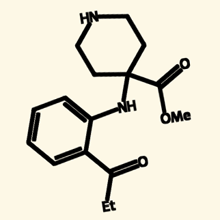 CCC(=O)c1ccccc1NC1(C(=O)OC)CCNCC1